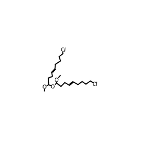 COC(CCC=CCCCCCl)OC(CCC=CCCCCCl)OC